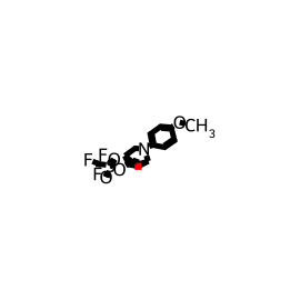 COc1ccc(N2CC3CCC2C=C3OS(=O)(=O)C(F)(F)F)cc1